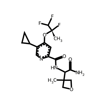 CC1(C(NC(=O)c2cc(O[C@@](C)(F)C(F)F)c(C3CC3)cn2)C(N)=O)COC1